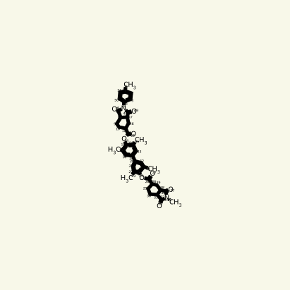 Cc1ccc(N2C(=O)C3CCC(C(=O)Oc4c(C)cc(-c5cc(C)c(OC(=O)C6CCC7C(=O)N(C)C(=O)C7C6)c(C)c5)cc4C)CC3C2=O)cc1